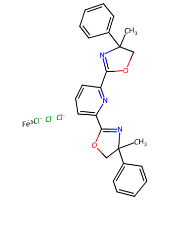 CC1(c2ccccc2)COC(c2cccc(C3=NC(C)(c4ccccc4)CO3)n2)=N1.[Cl-].[Cl-].[Cl-].[Fe+3]